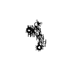 CC(C)(C)OC(=O)N[C@H]1C2CC3C[C@@H](C2)CC1(CNc1nc(NCc2ccccc2Cl)ncc1C#N)C3